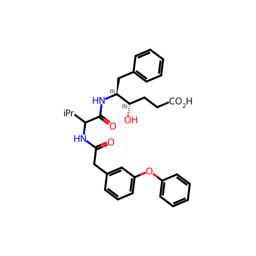 CC(C)C(NC(=O)Cc1cccc(Oc2ccccc2)c1)C(=O)N[C@@H](Cc1ccccc1)[C@@H](O)CCC(=O)O